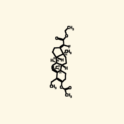 CCOC(=O)C(F)=C1CC[C@H]2[C@@H]3CC=C4C(CC)=C(OC(C)=O)CC[C@]4(C)[C@H]3CC[C@]12C